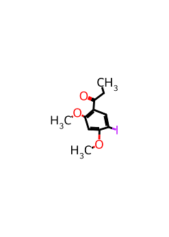 CCC(=O)c1cc(I)c(OC)cc1OC